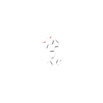 O=C1OC(=O)c2ccc(Oc3c(F)c(F)c(F)c(F)c3F)c3cccc1c23